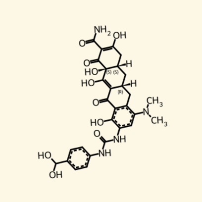 CN(C)c1cc(NC(=O)Nc2ccc(C(O)O)cc2)c(O)c2c1C[C@H]1C[C@H]3CC(O)=C(C(N)=O)C(=O)[C@@]3(O)C(O)=C1C2=O